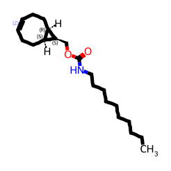 CCCCCCCCCCNC(=O)OC[C@@H]1[C@@H]2CC/C=C\CC[C@@H]21